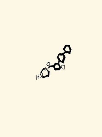 O=C(c1ccc(Cl)c(-c2ccc(-c3ccccc3)cc2)c1)N1CCCNCC1